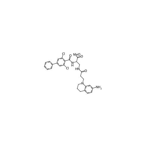 COC(=O)C(CNC(=O)CCN1CCCc2ccc(N)cc21)NC(=O)c1c(Cl)cc(-c2ccccc2)cc1Cl